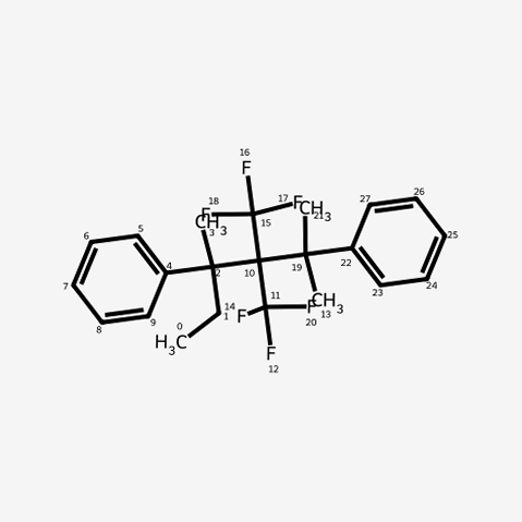 CCC(C)(c1ccccc1)C(C(F)(F)F)(C(F)(F)F)C(C)(C)c1ccccc1